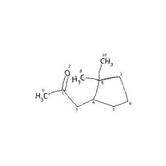 CC(=O)CC1CCCC1(C)C